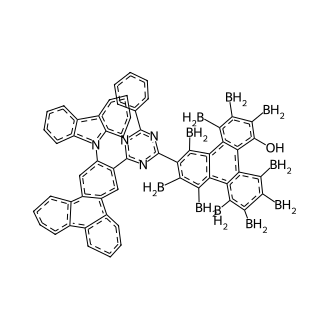 Bc1c(-c2nc(-c3ccccc3)nc(-c3cc4c5ccccc5c5ccccc5c4cc3-n3c4ccccc4c4ccccc43)n2)c(B)c2c(c1B)c1c(B)c(B)c(B)c(B)c1c1c(O)c(B)c(B)c(B)c21